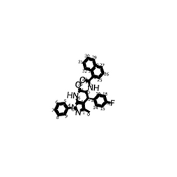 Cc1nn(-c2ccccc2)c2c1[C@H](c1ccc(F)cc1)[C@H](NC(=O)c1cccc3ccccc13)C(=O)N2